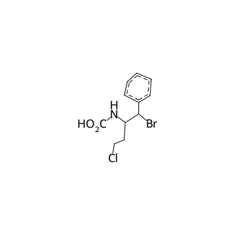 O=C(O)NC(CCCl)C(Br)c1ccccc1